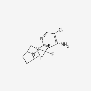 Nc1cc(N2CC3CCC(C2)N3CC(F)(F)F)ncc1Cl